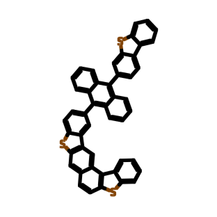 c1ccc2c(c1)sc1cc(-c3c4ccccc4c(-c4ccc5sc6cc7ccc8sc9ccccc9c8c7cc6c5c4)c4ccccc34)ccc12